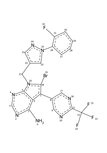 Nc1ncnc2c1c(-c1cnc(C(F)(F)F)nc1)c(Br)n2Cc1cnn(-c2ccccc2F)c1